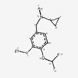 CCOc1cc(CN(C(C)=O)C2CC2)ccc1OC(F)F